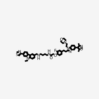 CCn1c2ccc(CNCCCCNC(=O)COc3ccc(CCc4nc5cc(-c6c(C)noc6C)ccc5n4CCN4CCOCC4)cc3F)cc2c2ccc(-c3cscn3)cc21